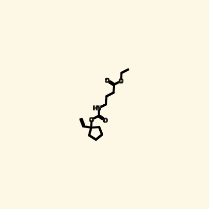 C=CC1(OC(=O)NCCCC(=O)OCC)CCCC1